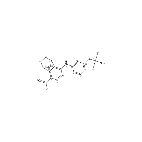 CC(=O)c1ncc(Nc2cccc(OC(F)(F)F)c2)c2c1C1CCC2C1